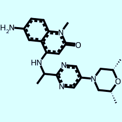 CC(Nc1cc(=O)n(C)c2ccc(N)cc12)c1ncc(N2C[C@@H](C)O[C@@H](C)C2)cn1